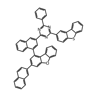 c1ccc(-c2nc(-c3cc(-c4cc(-c5ccc6ccccc6c5)cc5oc6ccccc6c45)c4ccccc4c3)nc(-c3ccc4sc5ccccc5c4c3)n2)cc1